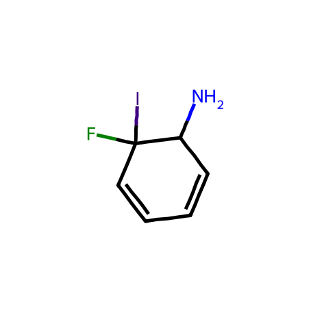 NC1C=CC=CC1(F)I